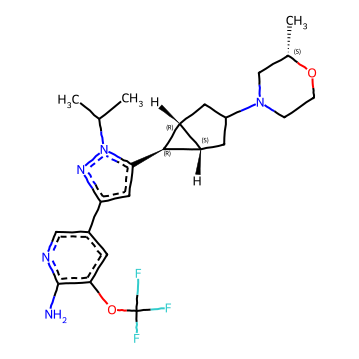 CC(C)n1nc(-c2cnc(N)c(OC(F)(F)F)c2)cc1[C@H]1[C@@H]2CC(N3CCO[C@@H](C)C3)C[C@@H]21